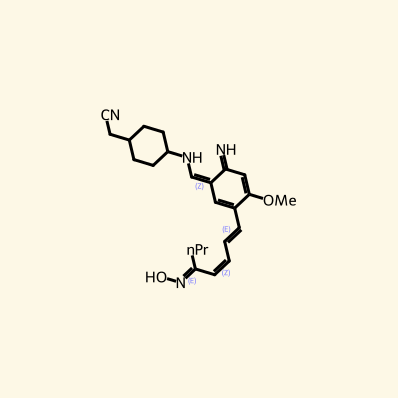 CCCC(/C=C\C=C\C1=CC(=C/NC2CCC(CC#N)CC2)/C(=N)C=C1OC)=N\O